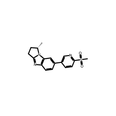 C[C@H]1CCc2nc3ccc(-c4ccc(S(C)(=O)=O)nc4)cc3n21